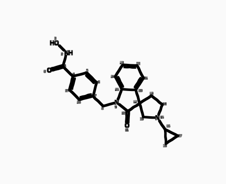 O=C(NO)c1ccc(CN2C(=O)C3(CCN(C4CC4)C3)c3ccccc32)cc1